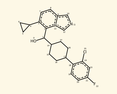 OC(c1c(C2CC2)ccc2cncn12)C1CCC(c2ccc(F)cc2Cl)CC1